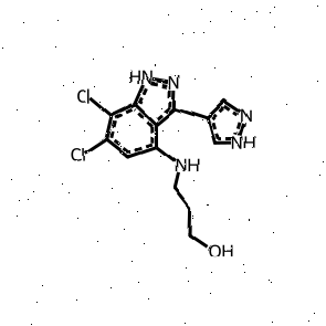 OCCCNc1cc(Cl)c(Cl)c2[nH]nc(-c3cn[nH]c3)c12